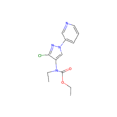 CCOC(=O)N(CC)c1cn(-c2cccnc2)nc1Cl